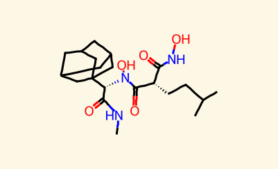 CNC(=O)[C@@H](N(O)C(=O)[C@@H](CCC(C)C)C(=O)NO)C12CC3CC(CC(C3)C1)C2